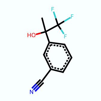 CC(O)(c1cccc(C#N)c1)C(F)(F)F